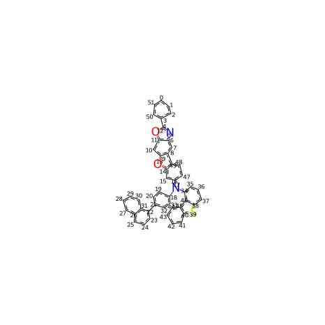 c1ccc(-c2nc3cc4c(cc3o2)oc2cc(N(c3ccc(-c5cccc6ccccc56)cc3)c3cccc5sc6ccccc6c35)ccc24)cc1